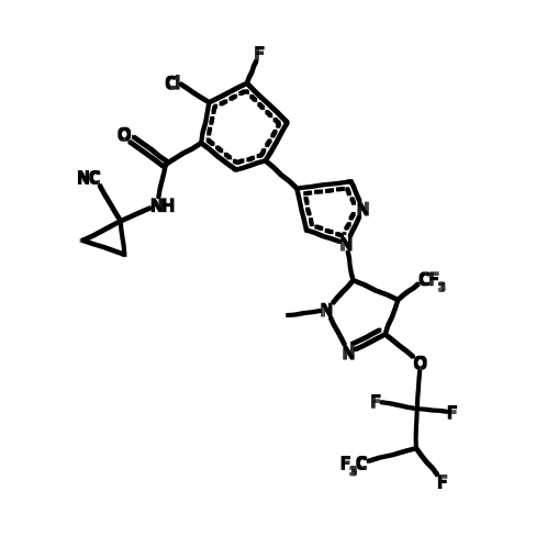 CN1N=C(OC(F)(F)C(F)C(F)(F)F)C(C(F)(F)F)C1n1cc(-c2cc(F)c(Cl)c(C(=O)NC3(C#N)CC3)c2)cn1